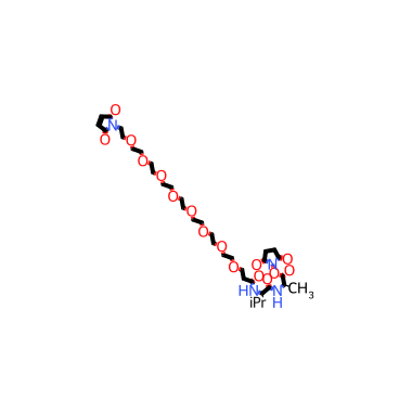 CC(C)[C@H](NC(=O)CCOCCOCCOCCOCCOCCOCCOCCOCCN1C(=O)C=CC1=O)C(=O)N[C@@H](C)C(=O)ON1C(=O)CCC1=O